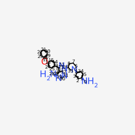 Nc1[c]cc(N2CCCC(n3nc(-c4ccc(Oc5ccccc5)cc4)c4c(N)ncnc43)C2)cc1